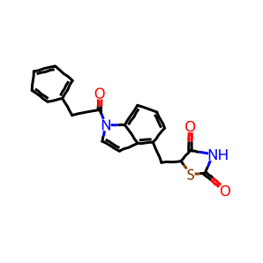 O=C1NC(=O)C(Cc2cccc3c2ccn3C(=O)Cc2ccccc2)S1